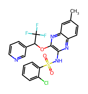 Cc1ccc2nc(NS(=O)(=O)c3ccccc3Cl)c(OC(c3cccnc3)C(F)(F)F)nc2c1